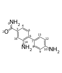 NC(=O)c1ccc(-c2ccc(N)cc2)c(N)c1